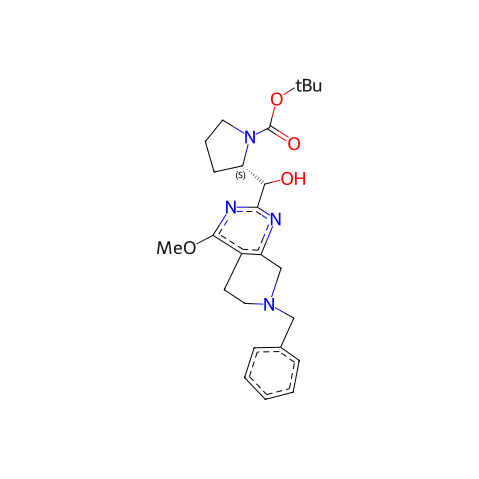 COc1nc(C(O)[C@@H]2CCCN2C(=O)OC(C)(C)C)nc2c1CCN(Cc1ccccc1)C2